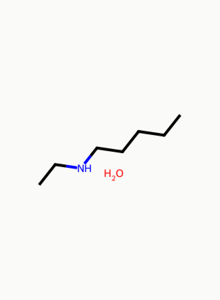 CCCCCNCC.O